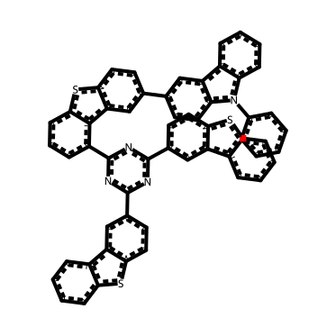 c1ccc(-n2c3ccccc3c3cc(-c4ccc5sc6cccc(-c7nc(-c8ccc9sc%10ccccc%10c9c8)nc(-c8ccc9sc%10ccccc%10c9c8)n7)c6c5c4)ccc32)cc1